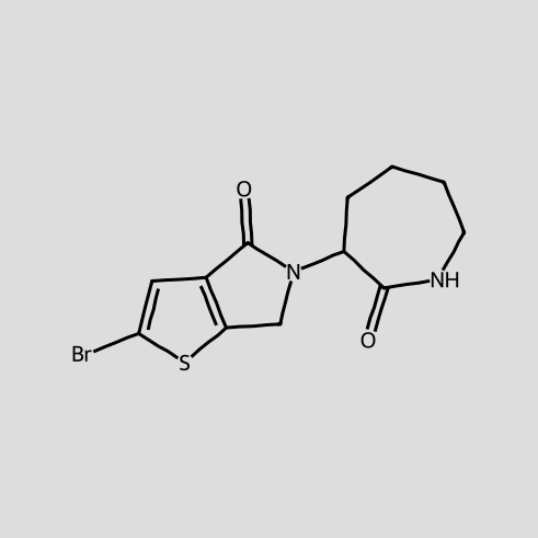 O=C1NCCCCC1N1Cc2sc(Br)cc2C1=O